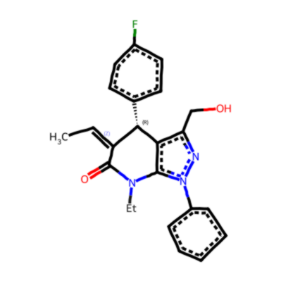 C/C=C1\C(=O)N(CC)c2c(c(CO)nn2-c2ccccc2)[C@H]1c1ccc(F)cc1